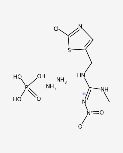 CN/C(=N\[N+](=O)[O-])NCc1cnc(Cl)s1.N.N.O=P(O)(O)O